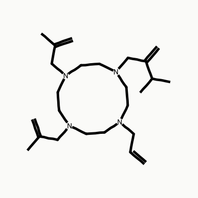 C=CCN1CCN(CC(=C)C)CCN(CC(=C)C)CCN(CC(=C)C(C)C)CC1